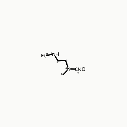 CCNCCN(C)C=O